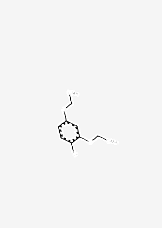 CCc1ccc(OCOC)cc1OCOC